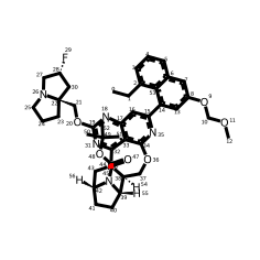 CCc1cccc2cc(OCOC)cc(-c3cc4nc(OC[C@@]56CCCN5C[C@H](F)C6)nc5c4c(n3)OC[C@H]3[C@@H]4CC[C@H](CN53)N4C(=O)OC(C)(C)C)c12